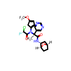 C[C@@](C(=O)N[C@@H]1C[C@H]2CC[C@@H]1O2)(c1cncnc1)N(C(=O)[C@H](F)Cl)C1=CC=C(OC(F)(F)F)C1